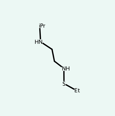 CCSNCCNC(C)C